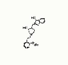 CCCOc1ccccc1CCN1CCC(CN2Cc3ccccc3C2O)CC1.Cl